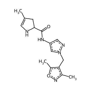 CC1=CNC(C(=O)Nc2cnn(Cc3c(C)noc3C)c2)C1